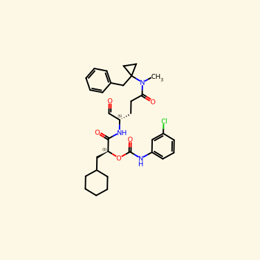 CN(C(=O)CC[C@@H](C=O)NC(=O)[C@H](CC1CCCCC1)OC(=O)Nc1cccc(Cl)c1)C1(Cc2ccccc2)CC1